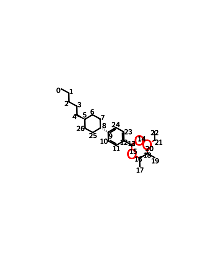 CCCCC[C@H]1CC[C@H](c2ccc(C(=O)OC(C)C(C)OCC)cc2)CC1